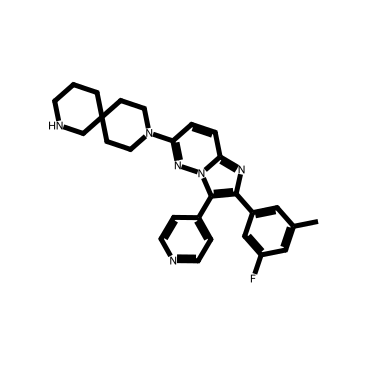 Cc1cc(F)cc(-c2nc3ccc(N4CCC5(CCCNC5)CC4)nn3c2-c2ccncc2)c1